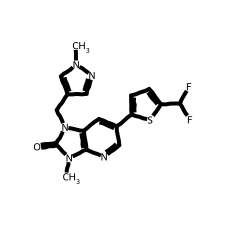 Cn1cc(Cn2c(=O)n(C)c3ncc(-c4ccc(C(F)F)s4)cc32)cn1